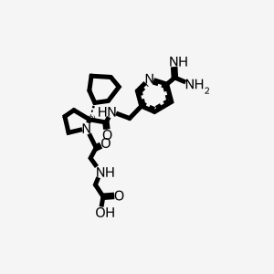 N=C(N)c1ccc(CNC(=O)[C@]2(C3CCCCC3)CCCN2C(=O)CNCC(=O)O)cn1